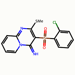 CSc1nc2ccccn2c(=N)c1S(=O)(=O)c1ccccc1Cl